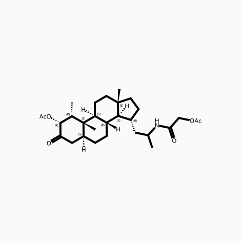 CC(=O)OCC(=O)NC(C)C[C@H]1CC[C@@]2(C)CC[C@H]3[C@@H](CC[C@H]4CC(=O)[C@H](OC(C)=O)[C@H](C)[C@@]43C)[C@H]12